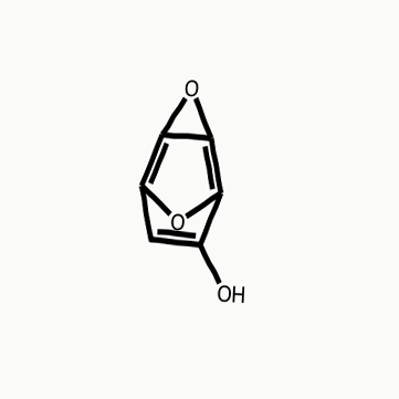 Oc1cc2oc1c1c2O1